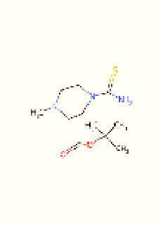 CC(C)(C)OC=O.CN1CCN(C(N)=S)CC1